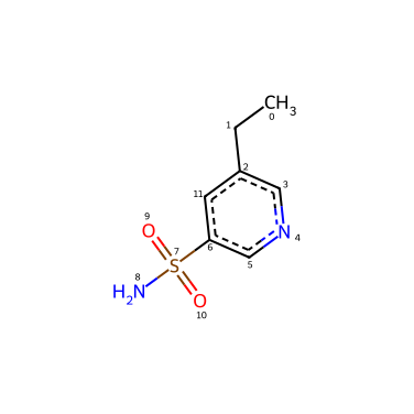 CCc1cncc(S(N)(=O)=O)c1